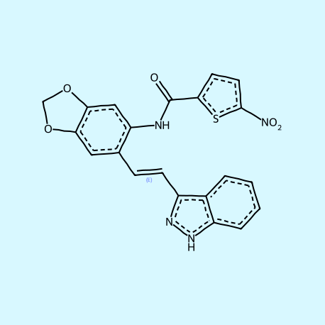 O=C(Nc1cc2c(cc1/C=C/c1n[nH]c3ccccc13)OCO2)c1ccc([N+](=O)[O-])s1